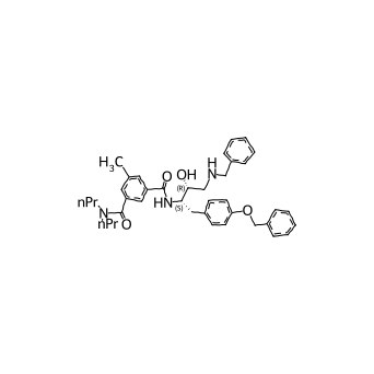 CCCN(CCC)C(=O)c1cc(C)cc(C(=O)N[C@@H](Cc2ccc(OCc3ccccc3)cc2)[C@H](O)CNCc2ccccc2)c1